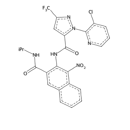 CC(C)NC(=O)c1cc2ccccc2c([N+](=O)[O-])c1NC(=O)c1cc(C(F)(F)F)nn1-c1ncccc1Cl